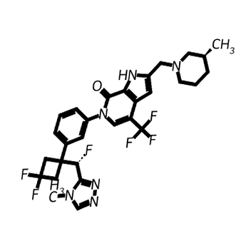 C[C@H]1CCCN(Cc2cc3c(C(F)(F)F)cn(-c4cccc(C5([C@H](F)c6nncn6C)CC(F)(F)C5)c4)c(=O)c3[nH]2)C1